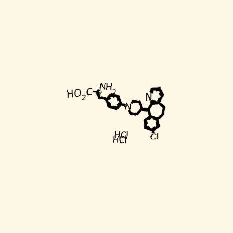 Cl.Cl.N[C@@H](Cc1ccc(N2CCC(=C3c4ccc(Cl)cc4CCc4cccnc43)CC2)cc1)C(=O)O